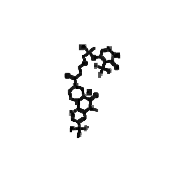 CN1C(=O)[C@@H]2CN(C(=O)CCOCC(C)(S)Oc3cn[nH]c(=O)c3C(F)(F)F)CCN2c2ncc(C(F)(F)F)cc21